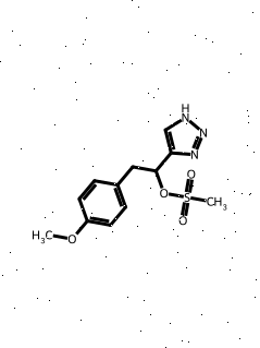 COc1ccc(CC(OS(C)(=O)=O)c2c[nH]nn2)cc1